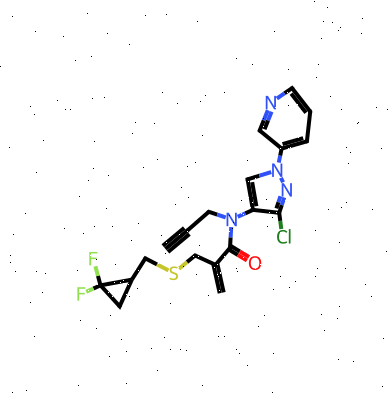 C#CCN(C(=O)C(=C)CSCC1CC1(F)F)c1cn(-c2cccnc2)nc1Cl